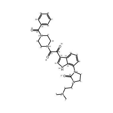 CN(C)CCN1CCN(c2cccc3c(C(=O)C(=O)N4CCN(C(=O)c5ccccc5)CC4)c[nH]c23)C1=O